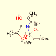 CCCCCCCCCCCC(OCCC)(OCCC)N(CC(C)O)CC(C)O